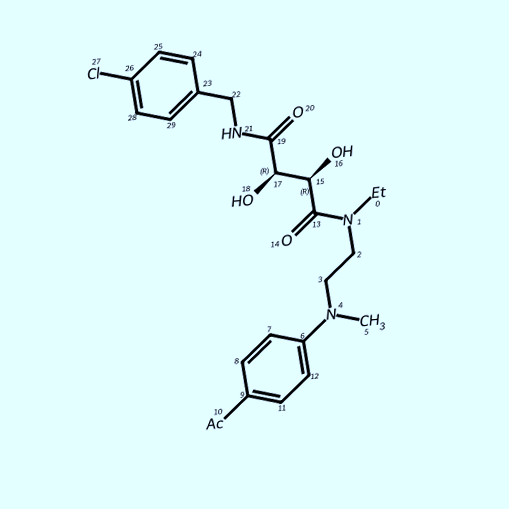 CCN(CCN(C)c1ccc(C(C)=O)cc1)C(=O)[C@H](O)[C@@H](O)C(=O)NCc1ccc(Cl)cc1